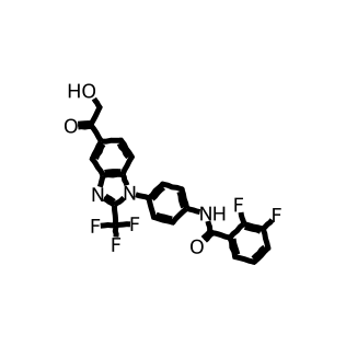 O=C(CO)c1ccc2c(c1)nc(C(F)(F)F)n2-c1ccc(NC(=O)c2cccc(F)c2F)cc1